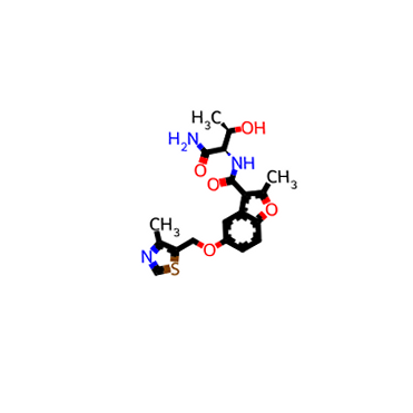 Cc1ncsc1COc1ccc2oc(C)c(C(=O)N[C@H](C(N)=O)[C@@H](C)O)c2c1